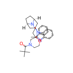 Cc1nc2ccccc2n1[C@H]1C[C@H]2CC[C@@H](C1)N2CCC1(c2ccccc2)CN(C(=O)C(C)(C)C)CCO1